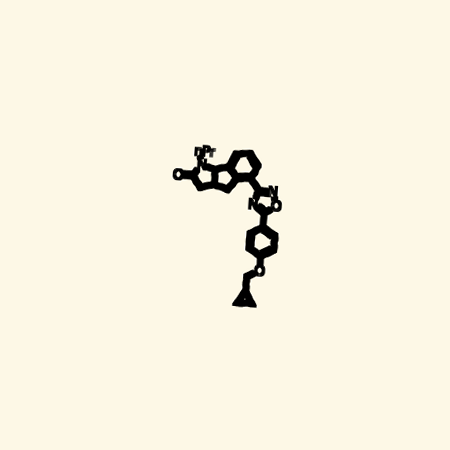 CCCN1C(=O)CC2Cc3c(-c4noc(-c5ccc(OCC6CC6)cc5)n4)cccc3C21